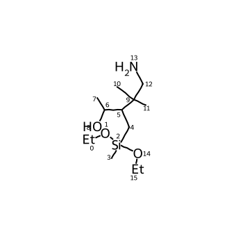 CCO[Si](C)(CC(C(C)O)C(C)(C)CN)OCC